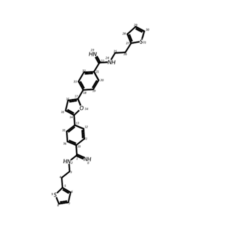 N=C(NCCc1cccs1)c1ccc(-c2ccc(-c3ccc(C(=N)NCCc4cccs4)cc3)o2)cc1